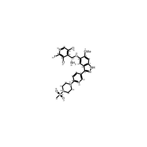 COc1cc2[nH]nc(-c3ccc(N4CCN(S(C)(=O)=O)CC4)nc3)c2cc1O[C@H](N)c1c(Cl)cnc(F)c1Cl